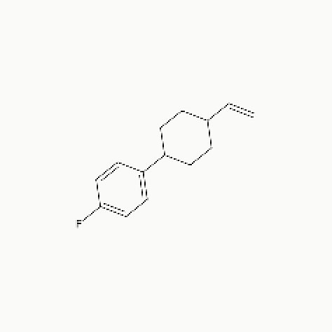 C=CC1CCC(c2ccc(F)cc2)CC1